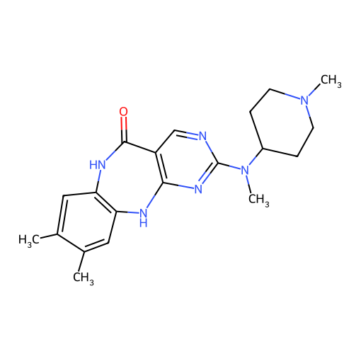 Cc1cc2c(cc1C)Nc1nc(N(C)C3CCN(C)CC3)ncc1C(=O)N2